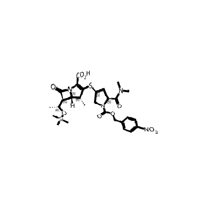 C[C@@H](O[Si](C)(C)C)[C@H]1C(=O)N2C(C(=O)O)=C(S[C@H]3C[C@@H](C(=O)N(C)C)N(C(=O)OCc4ccc([N+](=O)[O-])cc4)C3)[C@H](C)[C@H]12